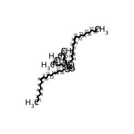 CCCCCCCC/C=C\CCCCCCCCOP(=O)(OCCCCCCCC/C=C\CCCCCCCC)N(CCCN(C)C)CCCN(C)C